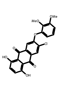 COc1cccc(Oc2cc3c(cc2Cl)C(=O)c2c(O)ccc(O)c2C3=O)c1OC